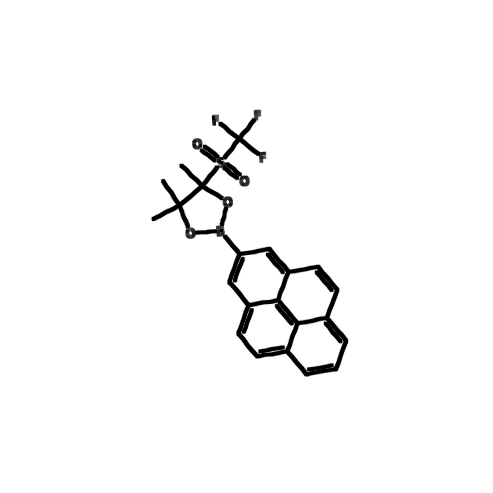 CC1(C)OB(c2cc3ccc4cccc5ccc(c2)c3c45)OC1(C)S(=O)(=O)C(F)(F)F